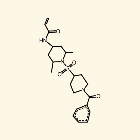 C=CC(=O)NC1CC(C)N(S(=O)(=O)C2CCN(C(=O)c3ccccc3)CC2)C(C)C1